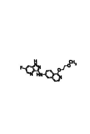 COCCOc1nccc2cc(Nc3n[nH]c4cc(F)cnc34)ccc12